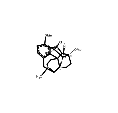 COc1ccc2c3c1OC1C34CCN(C)C(C2)[C@]42CC[C@@]1(OC)[C@@H]([C@](C)(O)C(C)(C)C)C2